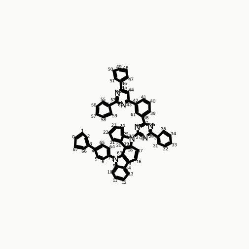 c1ccc(-c2ccc(-n3c4ccccc4c4ccc5c(c6ccccc6n5-c5nc(-c6ccccc6)nc(-c6cccc(-c7cc(-c8ccccc8)nc(-c8ccccc8)n7)c6)n5)c43)cc2)cc1